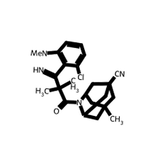 CNc1cccc(Cl)c1C(=N)C(C)(C)C(=O)N1C2CC3(C)CC1CC(C#N)(C2)C3